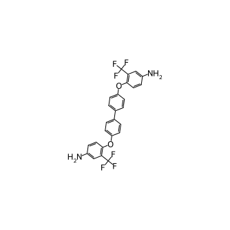 Nc1ccc(Oc2ccc(-c3ccc(Oc4ccc(N)cc4C(F)(F)F)cc3)cc2)c(C(F)(F)F)c1